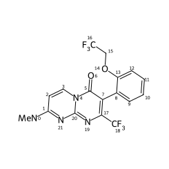 CNc1ccn2c(=O)c(-c3ccccc3OCC(F)(F)F)c(C(F)(F)F)nc2n1